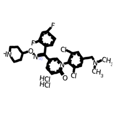 CN(C)Cc1cc(Cl)c(-n2cc(/C(=N/OC3CCNCC3)c3ccc(F)cc3F)ccc2=O)c(Cl)c1.Cl.Cl